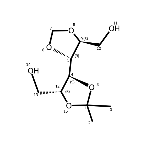 CC1(C)O[C@H]([C@@H]2OCO[C@H]2CO)[C@@H](CO)O1